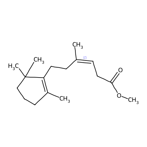 COC(=O)C/C=C(/C)CCC1=C(C)CCCC1(C)C